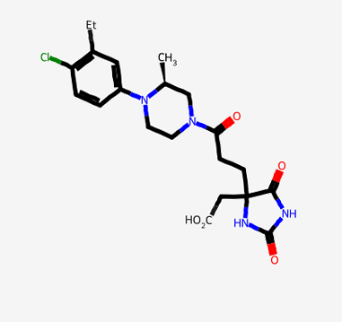 CCc1cc(N2CCN(C(=O)CCC3(CC(=O)O)NC(=O)NC3=O)C[C@@H]2C)ccc1Cl